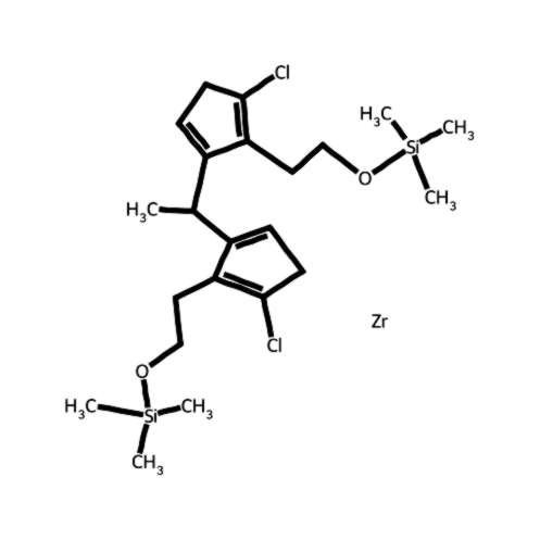 CC(C1=CCC(Cl)=C1CCO[Si](C)(C)C)C1=CCC(Cl)=C1CCO[Si](C)(C)C.[Zr]